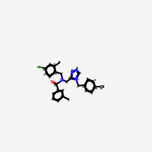 Cc1cccc(C(=O)N(Cc2ccc(F)cc2C)Cc2nncn2Cc2ccc(C#N)cc2)c1